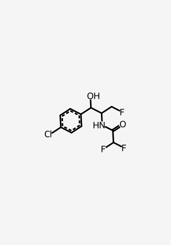 O=C(NC(CF)C(O)c1ccc(Cl)cc1)C(F)F